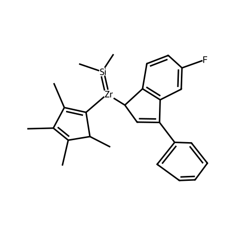 CC1=C(C)C(C)[C]([Zr]([CH]2C=C(c3ccccc3)c3cc(F)ccc32)=[Si](C)C)=C1C